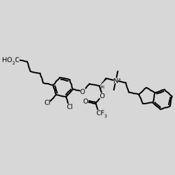 C[N+](C)(CCC1Cc2ccccc2C1)C[C@H](COc1ccc(CCCCC(=O)O)c(Cl)c1Cl)OC(=O)C(F)(F)F